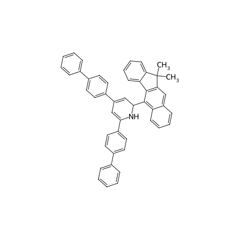 CC1(C)c2ccccc2-c2c1cc1ccccc1c2C1C=C(c2ccc(-c3ccccc3)cc2)C=C(c2ccc(-c3ccccc3)cc2)N1